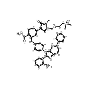 Cn1c(=O)c(-c2ccc(C(N)=O)c(Cc3ccc(-n4c(-c5cccnc5N)nc5ccc(-c6ccccc6)nc54)cc3)c2)cn1COCC[Si](C)(C)C